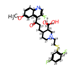 COc1ccc2ncc(F)c(C(=O)CCC3CCN(CCSc4cc(F)ccc4F)CC3C(=O)O)c2c1